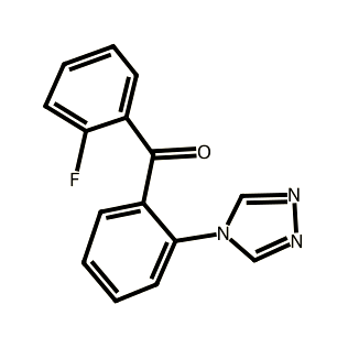 O=C(c1ccccc1F)c1ccccc1-n1cnnc1